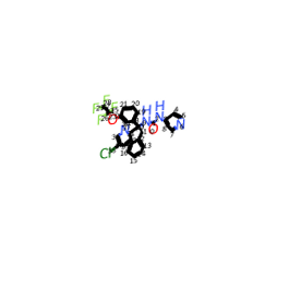 O=C(Nc1ccncc1)N[C@@](Cc1ccccc1)(c1cccc(OC(F)(F)C(F)F)c1)c1ccc(Cl)cn1